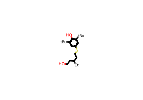 CCC(CCO)CCSc1cc(C(C)(C)C)c(O)c(C(C)(C)C)c1